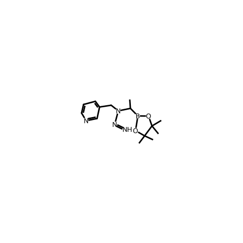 CC(B1OC(C)(C)C(C)(C)O1)N(Cc1cccnc1)N=N